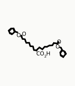 O=C(CCCCCCCC(CCCCCCCC(=O)OCc1ccccc1)C(=O)O)OCc1ccccc1